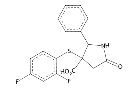 O=C1CC(Sc2ccc(F)cc2F)(C(=O)O)C(c2ccccc2)N1